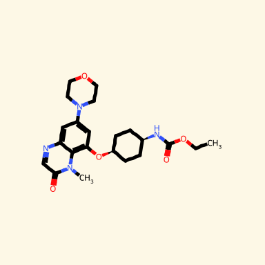 CCOC(=O)N[C@H]1CC[C@@H](Oc2cc(N3CCOCC3)cc3ncc(=O)n(C)c23)CC1